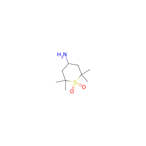 CC1(C)CC(N)CC(C)(C)S1(=O)=O